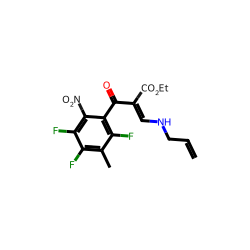 C=CCNC=C(C(=O)OCC)C(=O)c1c(F)c(C)c(F)c(F)c1[N+](=O)[O-]